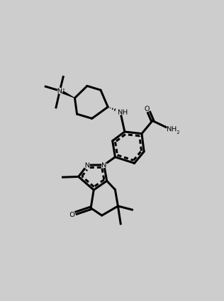 Cc1nn(-c2ccc(C(N)=O)c(N[C@H]3CC[C@H]([N+](C)(C)C)CC3)c2)c2c1C(=O)CC(C)(C)C2